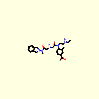 CCNCCN(C(=O)CNCC(=O)N(C)N1Cc2ccccc2C1)c1ccc(C(C)=O)cc1C